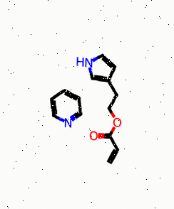 C=CC(=O)OCCc1cc[nH]c1.c1ccncc1